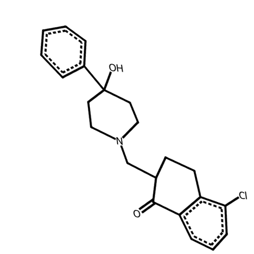 O=C1c2cccc(Cl)c2CCC1CN1CCC(O)(c2ccccc2)CC1